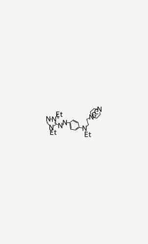 CCN(CC[N+]12CCN(CC1)CC2)c1ccc(/N=N/c2n(CC)cn[n+]2CC)cc1